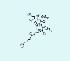 CO[C@@H](C(=O)N[C@@H](C)C(=O)NCCOC(=O)OCCCc1ccccc1)[C@H](O)[C@@H](O)[C@H](O)/C=C/C(C)(C)C